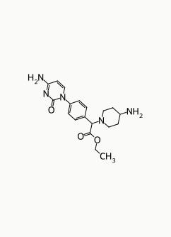 CCOC(=O)C(c1ccc(-n2ccc(N)nc2=O)cc1)N1CCC(N)CC1